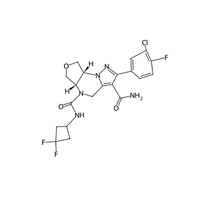 NC(=O)c1c(-c2ccc(F)c(Cl)c2)nn2c1CN(C(=O)NC1CC(F)(F)C1)[C@@H]1COC[C@@H]12